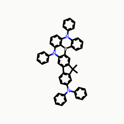 CC1(C)c2cc(N(c3ccccc3)c3ccccc3)ccc2-c2cc3c(cc21)B1c2ccccc2N(c2ccccc2)c2cccc(c21)N3c1ccccc1